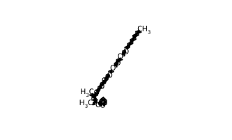 CCCCCCCCCCCOCCOCCOCCOCCOCCOCCOCCOCC(CC)OCC(CC)OC1CCCCO1